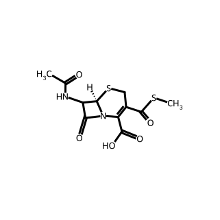 CSC(=O)C1=C(C(=O)O)N2C(=O)C(NC(C)=O)[C@H]2SC1